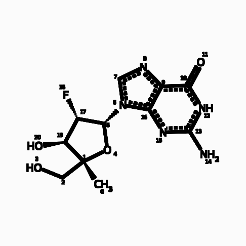 C[C@]1(CO)O[C@@H](n2cnc3c(=O)[nH]c(N)nc32)[C@@H](F)[C@@H]1O